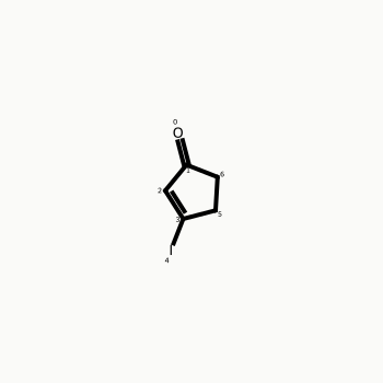 O=C1C=C(I)CC1